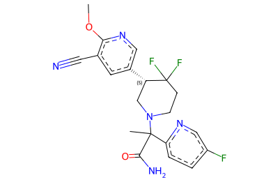 COc1ncc([C@H]2CN(C(C)(C(N)=O)c3ccc(F)cn3)CCC2(F)F)cc1C#N